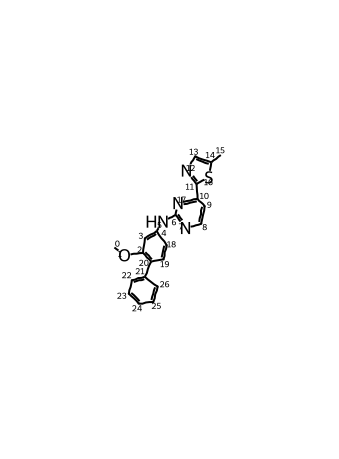 COc1cc(Nc2nccc(-c3ncc(C)s3)n2)ccc1-c1ccccc1